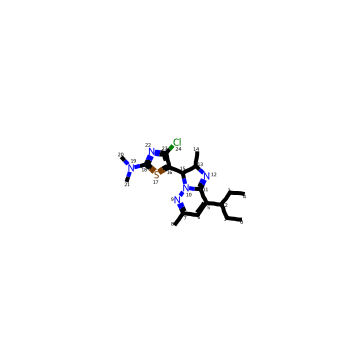 CCC(CC)C1=CC(C)=NN2C1=NC(C)C2c1sc(N(C)C)nc1Cl